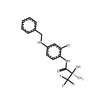 C[C@@](O)(C(=O)Nc1ccc(NCc2ccccc2)cc1Cl)C(F)(F)F